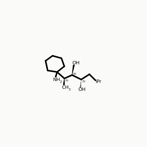 CC(C)C[C@H](O)[C@H](O)[C@@H](C)C1(N)CCCCC1